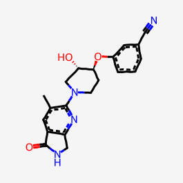 Cc1cc2c(nc1N1CC[C@H](Oc3cccc(C#N)c3)[C@@H](O)C1)CNC2=O